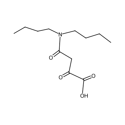 CCCCN(CCCC)C(=O)CC(=O)C(=O)O